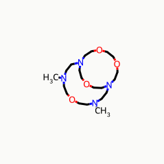 CN1CCOCCN(C)CCN2CCOCCOCCN(CCOCC2)CC1